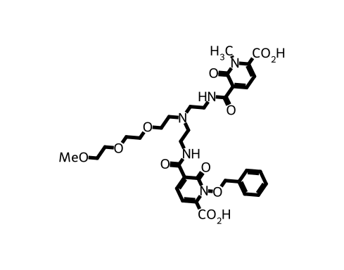 COCCOCCOCCN(CCNC(=O)c1ccc(C(=O)O)n(C)c1=O)CCNC(=O)c1ccc(C(=O)O)n(OCc2ccccc2)c1=O